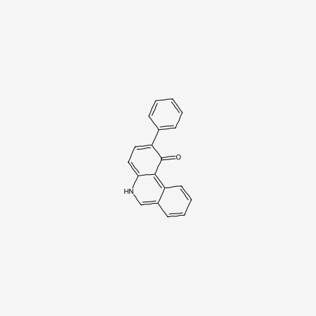 O=c1c(-c2ccccc2)ccc2[nH]cc3ccccc3c1-2